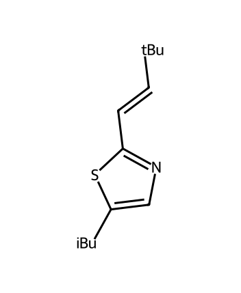 CCC(C)c1cnc(/C=C/C(C)(C)C)s1